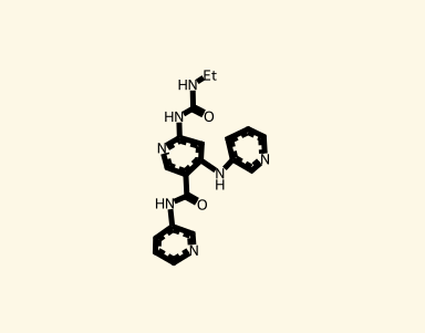 CCNC(=O)Nc1cc(Nc2cccnc2)c(C(=O)Nc2cccnc2)cn1